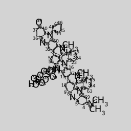 CN(C)c1ccc2nc3ccc(-c4cc5c(cc4N(C)C)N(c4ccccc4)c4cc(-c6cc7nc8ccc(=O)cc-8n(-c8ccccc8)c7cc6N(C)C)ccc4N5)cc3[n+](-c3ccccc3)c2c1.O=S(=O)(O)O.O=S(=O)([O-])[O-].[H+]